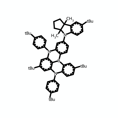 CC(C)(C)c1ccc(N2c3ccc(C(C)(C)C)cc3B3c4ccc(N5c6ccc(C(C)(C)C)cc6C6(C)CCCC56C)cc4N(c4ccc(C(C)(C)C)cc4)c4cc(C(C)(C)C)cc2c43)cc1